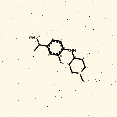 CSC(C)c1ccc(NC2CCN(C)CC2)c(C)c1